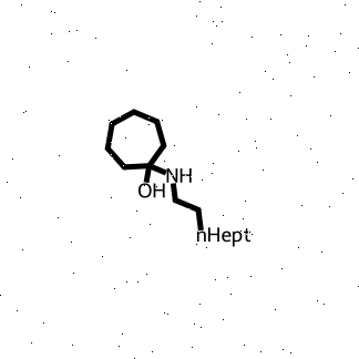 CCCCCCCCCNC1(O)CCCCCC1